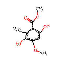 COC(=O)c1c(O)cc(OC)c(O)c1C